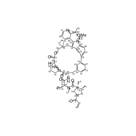 C=CC(=O)N1C[C@H](C)[C@](F)(C(=O)N(C)[C@H](C(=O)N[C@H]2Cc3cccc(c3)-c3ccc4c(c3)c(c(-c3cccnc3[C@H](C)OC)n4CC)CC(C)(C)COC(=O)[C@@H]3CCCN(N3)C2=O)C(C)C)C1